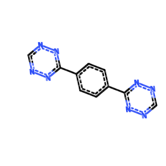 c1nnc(-c2ccc(-c3nncnn3)cc2)nn1